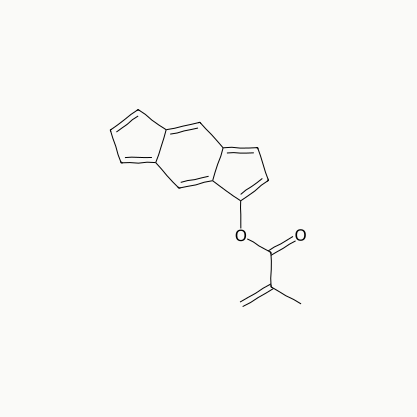 C=C(C)C(=O)OC1=CC=c2cc3c(cc21)=CC=C3